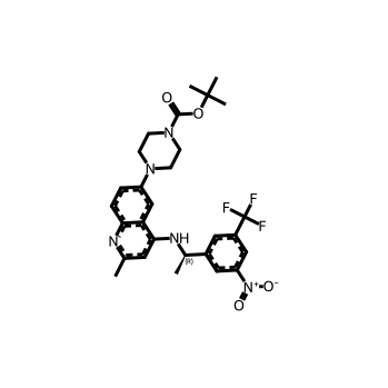 Cc1cc(N[C@H](C)c2cc([N+](=O)[O-])cc(C(F)(F)F)c2)c2cc(N3CCN(C(=O)OC(C)(C)C)CC3)ccc2n1